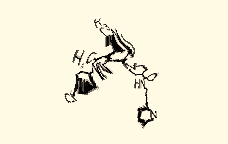 Cc1nnc(N2CCC(C(=O)NCc3ccccn3)CC2)c2nn(-c3ccc(Cl)cc3)c(C)c12